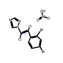 Cl/C(=C(/Cl)n1cncn1)c1ccc(Br)cc1Br.O=[N+]([O-])O